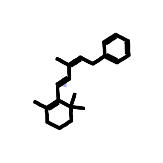 CC(=CCc1ccccc1)/C=C/C1=C(C)CCCC1(C)C